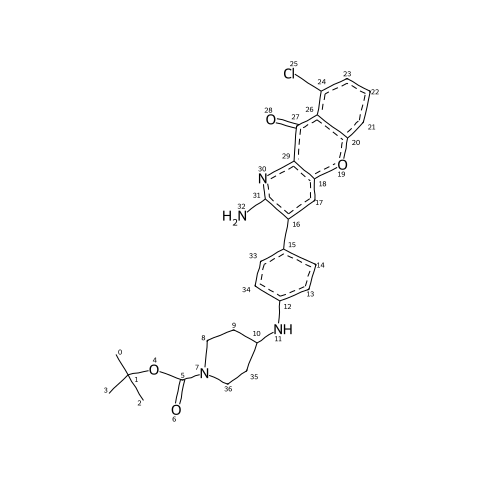 CC(C)(C)OC(=O)N1CCC(Nc2ccc(-c3cc4oc5cccc(Cl)c5c(=O)c4nc3N)cc2)CC1